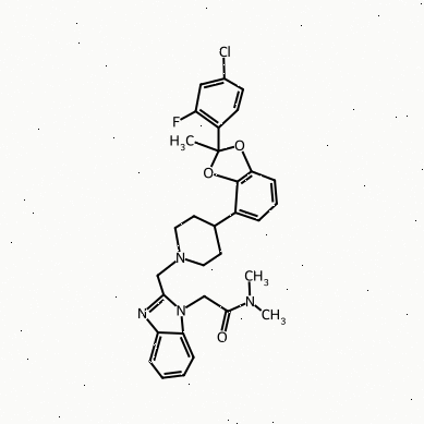 CN(C)C(=O)Cn1c(CN2CCC(c3cccc4c3OC(C)(c3ccc(Cl)cc3F)O4)CC2)nc2ccccc21